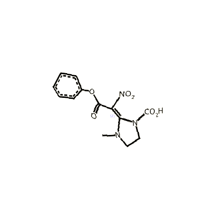 CN1CCN(C(=O)O)/C1=C(/C(=O)Oc1ccccc1)[N+](=O)[O-]